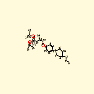 CCCC1CCC(c2ccc(OCC(C)C[SiH](OC(C)C)OC(C)C)cc2)CC1